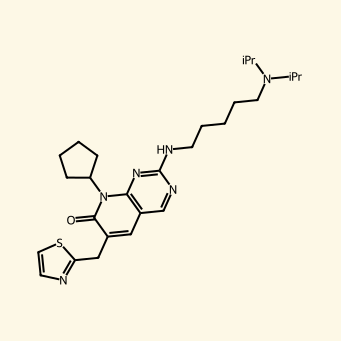 CC(C)N(CCCCCNc1ncc2cc(Cc3nccs3)c(=O)n(C3CCCC3)c2n1)C(C)C